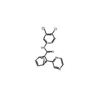 O=C(Nc1ccc(Cl)c(Cl)c1)c1c(-c2cnccn2)c2ccc1o2